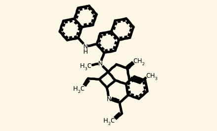 C=CC1=NC2C(C=C)C(CC(=C)/C=C\C)(N(C)c3cc4ccccc4cc3Nc3cccc4ccccc34)C2c2ccccc21